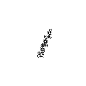 CC(=O)OCCNC(=O)c1ccc(C(=O)NS(=O)(=O)c2ccc(CCNC(=O)c3ccc(Cl)cc3)cc2)cn1